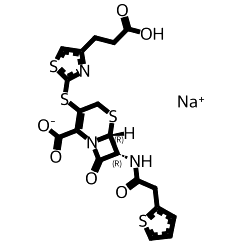 O=C(O)CCc1csc(SC2=C(C(=O)[O-])N3C(=O)[C@@H](NC(=O)Cc4cccs4)[C@H]3SC2)n1.[Na+]